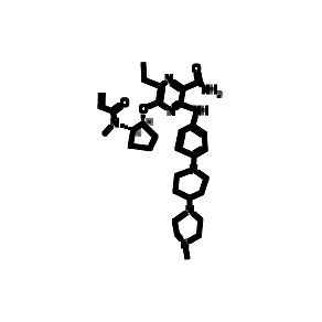 C=CC(=O)N(C)[C@H]1CCC[C@H]1Oc1nc(Nc2ccc(N3CCC(N4CCN(C)CC4)CC3)cc2)c(C(N)=O)nc1CC